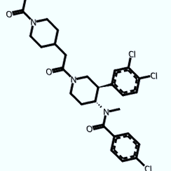 CC(=O)N1CCC(CC(=O)N2CC[C@@H](N(C)C(=O)c3ccc(Cl)cc3)[C@H](c3ccc(Cl)c(Cl)c3)C2)CC1